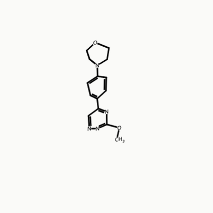 COc1nncc(-c2ccc(N3CCOCC3)cc2)n1